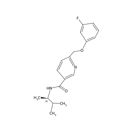 CC(C)[C@@H](C)NC(=O)c1ccc(COc2cccc(F)c2)nc1